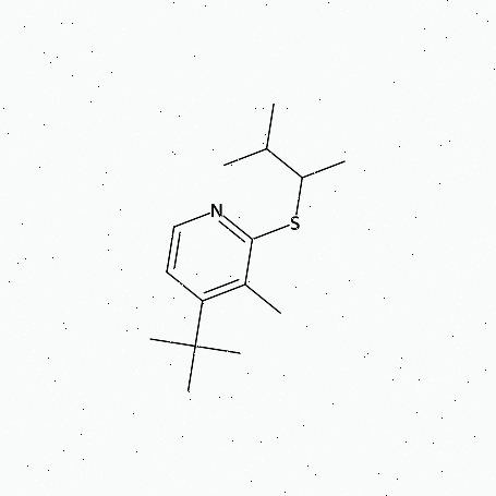 Cc1c(C(C)(C)C)ccnc1SC(C)C(C)C